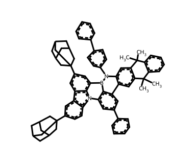 CC1(C)c2ccccc2C(C)(C)c2cc3c(cc21)-c1cc(-c2ccccc2)cc2c1B(c1cc(C45CC6CC(CC(C6)C4)C5)cc4c5cc(C67CC8CC(CC(C8)C6)C7)ccc5n-2c14)N3c1ccc(-c2ccccc2)cc1